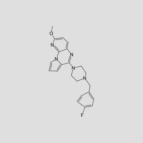 COc1ccc2nc(N3CCN(Cc4ccc(F)cc4)CC3)c3cccn3c2n1